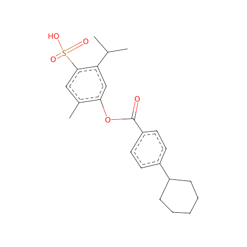 Cc1cc(S(=O)(=O)O)c(C(C)C)cc1OC(=O)c1ccc(C2CCCCC2)cc1